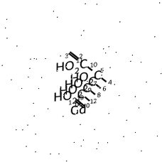 C=C.C=C.CC(=O)O.CC(=O)O.CC(=O)O.CC(=O)O.CC(=O)O.[Gd]